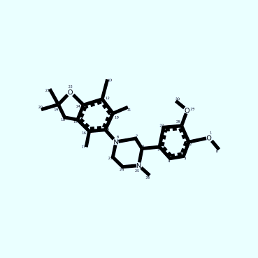 COc1ccc(C2CN(c3c(C)c(C)c4c(c3C)CC(C)(C)O4)CCN2C)cc1OC